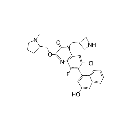 CN1CCCC1COc1nc2c(F)c(-c3cc(O)cc4ccccc34)c(Cl)cc2n(CC2CNC2)c1=O